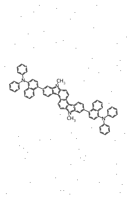 Cn1c2cc(-c3ccc(N(c4ccccc4)c4ccccc4)c4ccccc34)ccc2c2c3ccc4c(c3ccc21)c1ccc(-c2ccc(N(c3ccccc3)c3ccccc3)c3ccccc23)cc1n4C